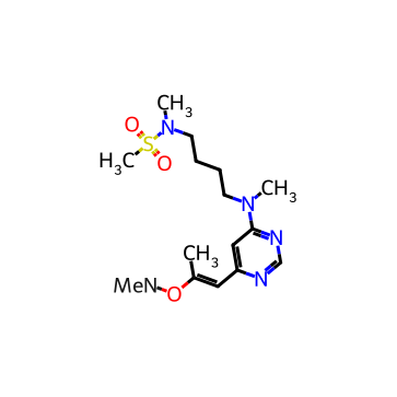 CNO/C(C)=C/c1cc(N(C)CCCCN(C)S(C)(=O)=O)ncn1